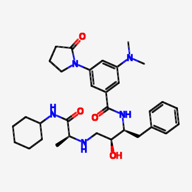 C[C@H](NC[C@H](O)[C@H](Cc1ccccc1)NC(=O)c1cc(N(C)C)cc(N2CCCC2=O)c1)C(=O)NC1CCCCC1